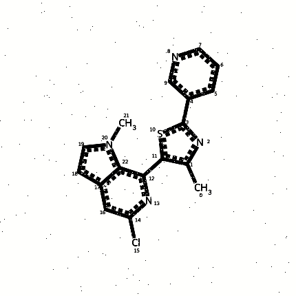 Cc1nc(-c2cccnc2)sc1-c1nc(Cl)cc2ccn(C)c12